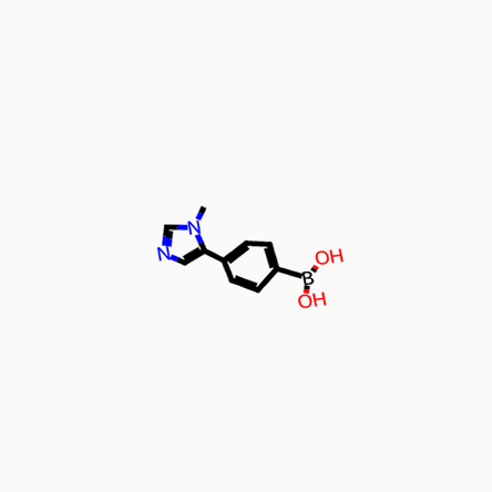 Cn1cncc1-c1ccc(B(O)O)cc1